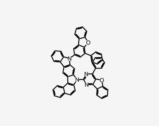 c1ccc(-c2cc(-n3c4ccccc4c4cc5c6c7ccccc7ccc6n(-c6nc(-c7ccccc7)c7oc8ccccc8c7n6)c5cc43)cc3c2oc2ccccc23)cc1